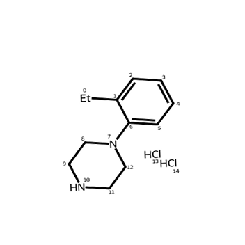 CCc1ccccc1N1CCNCC1.Cl.Cl